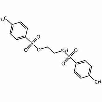 Cc1ccc(S(=O)(=O)NCCOS(=O)(=O)c2ccc(C)cc2)cc1